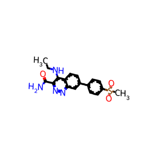 CCNc1c(C(N)=O)nnc2cc(-c3ccc(S(C)(=O)=O)cc3)ccc12